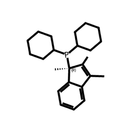 CC1=C(C)[C@](C)(P(C2CCCCC2)C2CCCCC2)c2ccccc21